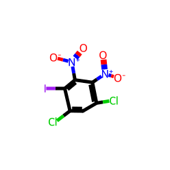 O=[N+]([O-])c1c(Cl)cc(Cl)c(I)c1[N+](=O)[O-]